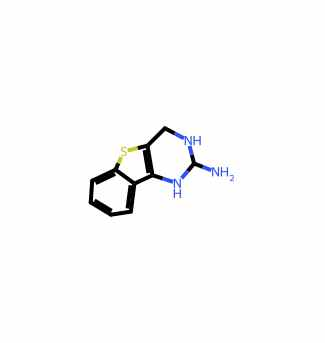 NC1NCc2sc3ccccc3c2N1